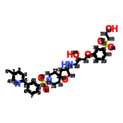 Cc1ccc(-c2cccc(S(=O)(=O)N3CCC4(CC3)C[C@@H](NC[C@H](O)COc3cccc(S(=O)(=O)CCO)c3)CO4)c2)nc1